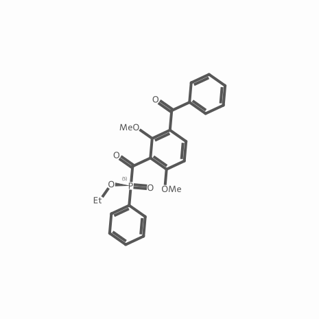 CCO[P@](=O)(C(=O)c1c(OC)ccc(C(=O)c2ccccc2)c1OC)c1ccccc1